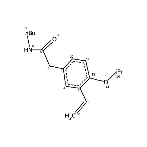 C=Cc1cc(CC(=O)NCCCC)ccc1OC(C)C